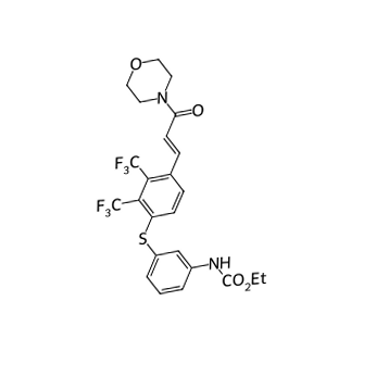 CCOC(=O)Nc1cccc(Sc2ccc(/C=C/C(=O)N3CCOCC3)c(C(F)(F)F)c2C(F)(F)F)c1